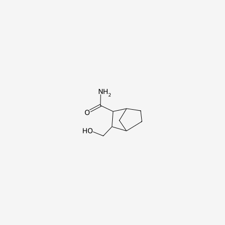 NC(=O)C1C2CCC(C2)C1CO